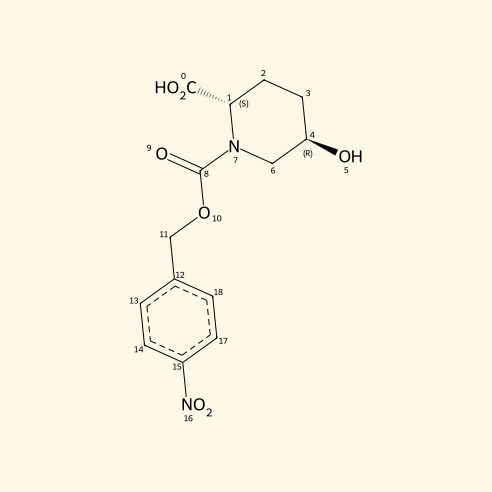 O=C(O)[C@@H]1CC[C@@H](O)CN1C(=O)OCc1ccc([N+](=O)[O-])cc1